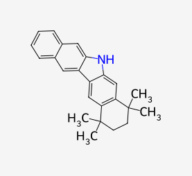 CC1(C)CCC(C)(C)c2cc3c(cc21)[nH]c1cc2ccccc2cc13